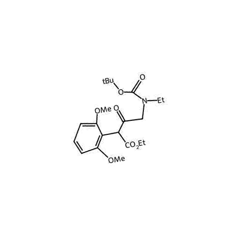 CCOC(=O)C(C(=O)CN(CC)C(=O)OC(C)(C)C)c1c(OC)cccc1OC